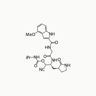 COc1cccc2[nH]c(C(=O)NCC(=O)N[C@@H](C[C@@H]3CCNC3=O)C(C#N)OC(=O)NC(C)C)cc12